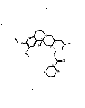 COc1cc2c(cc1OC)[C@H]1C[C@@H](COC(=O)[C@@H]3COCCN3)[C@H](CC(C)C)CN1CC2